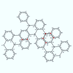 c1ccc(N2c3cc(-c4cccc5c4N(c4ccccc4)c4ccccc4S5)ccc3B3c4ccc(-c5cccc6c5N(c5ccccc5)c5ccccc5S6)cc4N(c4ccccc4)c4cccc2c43)cc1